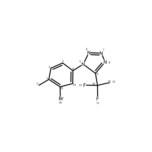 Cc1ccc(-n2nnnc2C(F)(F)F)cc1Br